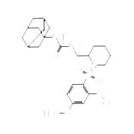 COc1ccc(S(=O)(=O)N2CCCCC2CNC(=O)NC23CC4CC(CC(C4)C2)C3)c(OC)c1